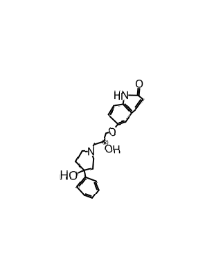 O=c1ccc2cc(OC[C@H](O)CN3CCC(O)(c4ccccc4)CC3)ccc2[nH]1